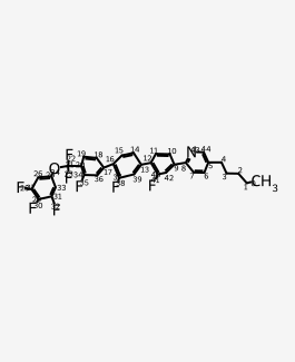 CCCCCc1ccc(-c2ccc(-c3ccc(-c4ccc(C(F)(F)Oc5cc(F)c(F)c(F)c5)c(F)c4)c(F)c3)c(F)c2)nc1